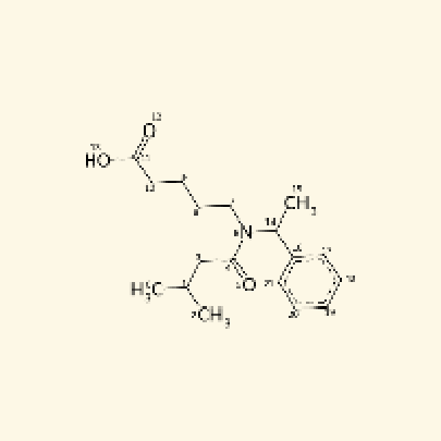 CC(C)CC(=O)N(CCCCC(=O)O)C(C)c1ccccc1